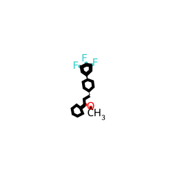 COC(CC[C@H]1CC[C@H](c2cc(F)c(F)c(F)c2)CC1)=C1CCCCC1